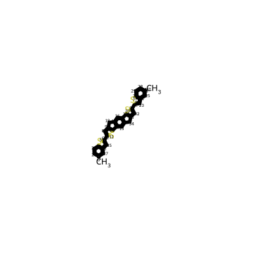 Cc1ccc2sc(-c3cc4c(s3)-c3cc5c(cc3C4)-c3sc(-c4cc6cc(C)ccc6s4)cc3C5)cc2c1